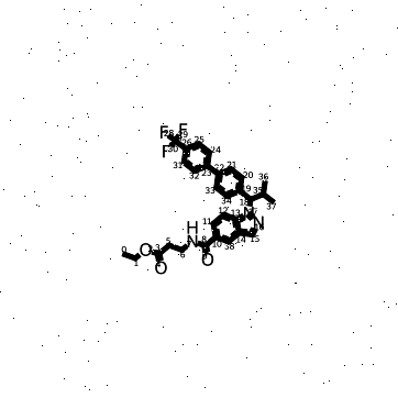 CCOC(=O)CCNC(=O)c1ccc2c(cnn2C(c2ccc(-c3ccc(C(F)(F)F)cc3)cc2)C(C)C)c1